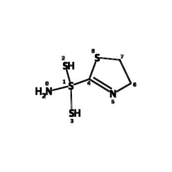 NS(S)(S)C1=NCCS1